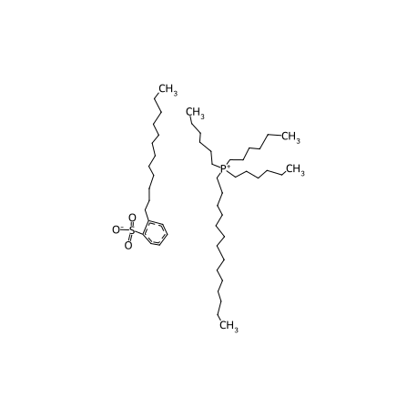 CCCCCCCCCCCCCC[P+](CCCCCC)(CCCCCC)CCCCCC.CCCCCCCCCCCCc1ccccc1S(=O)(=O)[O-]